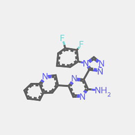 Nc1ncc(-c2cnc3ccccc3c2)nc1-c1nncn1-c1cccc(F)c1F